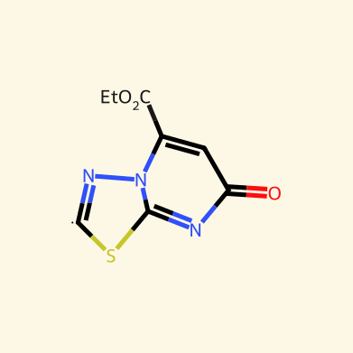 CCOC(=O)c1cc(=O)nc2s[c]nn12